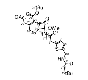 CO[C@@]1(NC(=O)Cc2ccc(CNC(=O)OC(C)(C)C)s2)C(=O)N2C(C(=O)OC(C)(C)C)=C(COC(C)=O)CS[C@@H]21